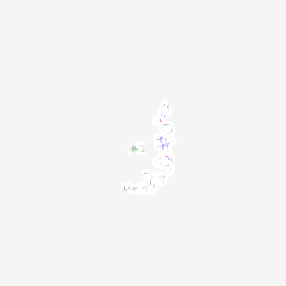 COc1cc(C)nc2c(OCc3c(Cl)ccc(N(C)C(=O)CNC(=O)Nc4cccc(C(=O)N5CCN(C)CC5)c4)c3Cl)cccc12.Cl.Cl